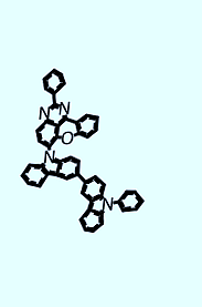 c1ccc(-c2nc3c4c(c(-n5c6ccccc6c6cc(-c7ccc8c(c7)c7ccccc7n8-c7ccccc7)ccc65)ccc4n2)Oc2ccccc2-3)cc1